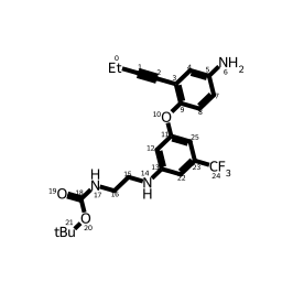 CCC#Cc1cc(N)ccc1Oc1cc(NCCNC(=O)OC(C)(C)C)cc(C(F)(F)F)c1